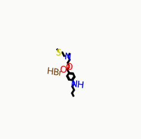 Br.CCCCNc1ccc(C(=O)OCCN(C)CCSC)cc1